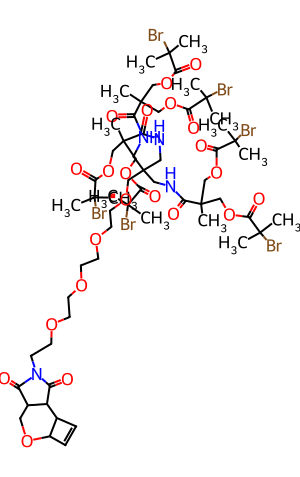 CC(C)(Br)C(=O)OCC(C)(COC(=O)C(C)(C)Br)C(=O)NCC(CNC(=O)C(C)(COC(=O)C(C)(C)Br)COC(=O)C(C)(C)Br)(CNC(=O)C(C)(COC(=O)C(C)(C)Br)COC(=O)C(C)(C)Br)COCCOCCOCCOCCN1C(=O)C2COC3C=CC3C2C1=O